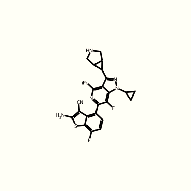 CC(C)c1nc(-c2ccc(F)c3sc(N)c(C#N)c23)c(F)c2c1c(C1C3CNCC31)nn2C1CC1